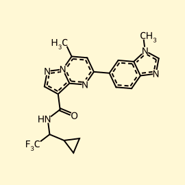 Cc1cc(-c2ccc3ncn(C)c3c2)nc2c(C(=O)NC(C3CC3)C(F)(F)F)cnn12